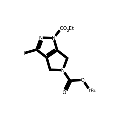 CCOC(=O)n1nc(I)c2c1CN(C(=O)OC(C)(C)C)C2